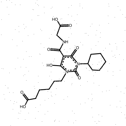 O=C(O)CCCCCn1c(O)c(C(=O)NCC(=O)O)c(=O)n(C2CCCCC2)c1=O